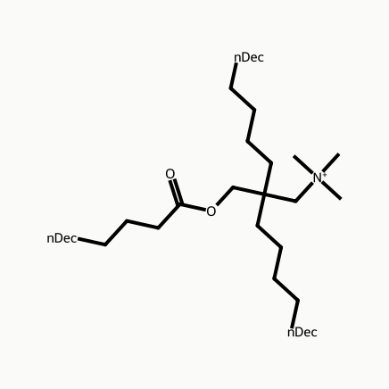 CCCCCCCCCCCCCCC(CCCCCCCCCCCCCC)(COC(=O)CCCCCCCCCCCCC)C[N+](C)(C)C